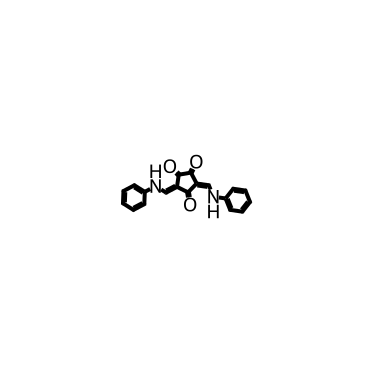 O=c1c(=O)/c(=C/Nc2ccccc2)c(=O)/c1=C/Nc1ccccc1